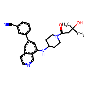 CC(C)(O)CC(=O)N1CCC(Nc2cc(-c3cccc(C#N)c3)cc3ccncc23)CC1